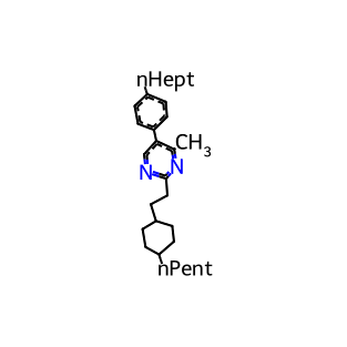 CCCCCCCc1ccc(-c2cnc(CCC3CCC(CCCCC)CC3)nc2C)cc1